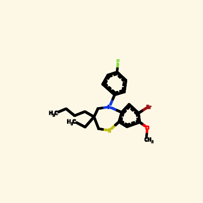 CCCCC1(CC)CSc2cc(OC)c(Br)cc2N(c2ccc(F)cc2)C1